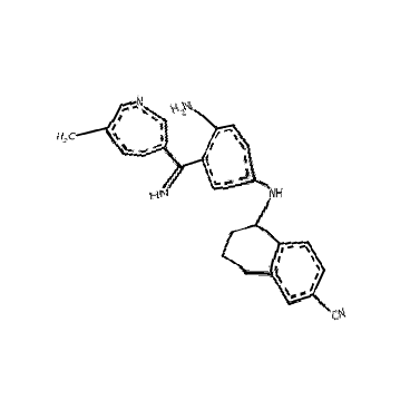 Cc1cncc(C(=N)c2cc(NC3CCCc4cc(C#N)ccc43)ccc2N)c1